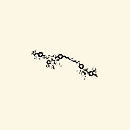 Cc1ncsc1-c1ccc(CNC(=O)[C@@H]2C[C@@H](O)CN2C(=O)[C@H](C(C)C)N2Cc3cc(CCCCOCCCOc4ccc(N5C(=S)N(c6ccc(C#N)c(C(F)(F)F)c6)C(=O)C5(C)C)cc4)ccc3C2=O)cc1